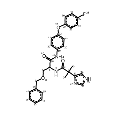 CC(C)(C(=O)NC(COCc1ccccc1)C(=O)Nc1ccc(Oc2ccc(F)cc2)cc1)c1c[nH]cn1